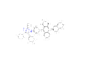 CCc1nc(-c2ccccc2)c(-c2ccccc2)n1-c1ccc(-c2c3ccccc3c(-c3ccc4ccccc4c3)c3ccccc23)cc1